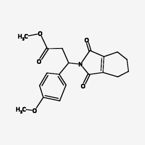 COC(=O)CC(c1ccc(OC)cc1)N1C(=O)C2=C(CCCC2)C1=O